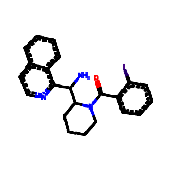 NC(c1nccc2ccccc12)C1CCCCN1C(=O)c1ccccc1I